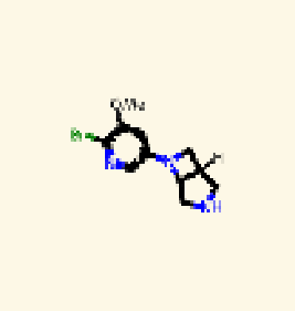 COc1cc(N2C[C@@H]3CNCC32)cnc1Br